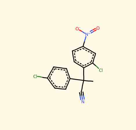 CC(C#N)(c1ccc(Cl)cc1)c1ccc([N+](=O)[O-])cc1Cl